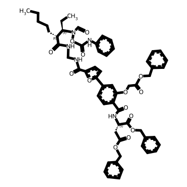 CCCCC[C@@H](C(=O)NCNC(=O)c1ccc(-c2ccc(C(=O)N[C@@H](CC(=O)OCc3ccccc3)C(=O)OCc3ccccc3)c(OCC(=O)OCc3ccccc3)c2)o1)[C@@H](CC)N(C=O)OC(=O)Nc1ccccc1